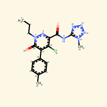 CCCn1nc(C(=O)Nc2nnnn2C)c(Cl)c(-c2ccc(C)cc2)c1=O